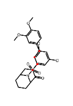 COc1ccc(OCCN2CC3CCCC(C2=O)N3S(=O)(=O)c2cc(Cl)cc(Cl)c2)cc1OC